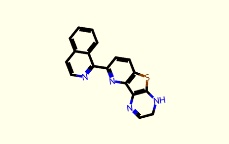 C1=Nc2c(sc3ccc(-c4nccc5ccccc45)nc23)NC1